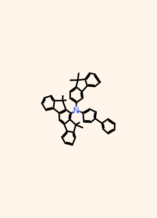 CC1(C)c2ccccc2-c2cc(N(c3ccc(-c4ccccc4)cc3)c3c4c(cc5c3C(C)(C)c3ccccc3-5)-c3ccccc3C4(C)C)ccc21